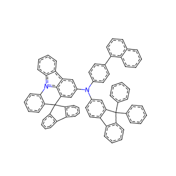 c1ccc(C2(c3ccccc3)c3ccccc3-c3ccc(N(c4ccc(-c5cccc6ccccc56)cc4)c4cc5c6c(c4)c4ccccc4n6-c4ccccc4C54c5ccccc5-c5ccccc54)cc32)cc1